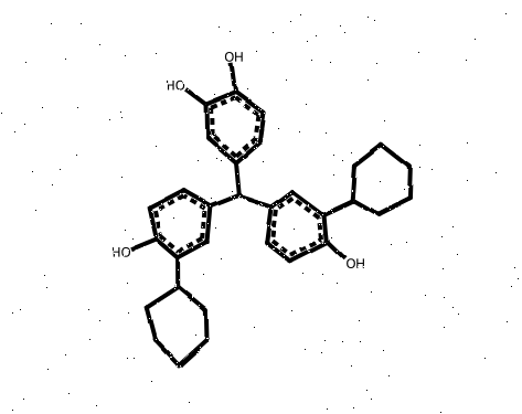 Oc1ccc(C(c2ccc(O)c(C3CCCCC3)c2)c2ccc(O)c(C3CCCCC3)c2)cc1O